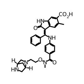 Cc1cc2c(cc1C(=O)O)NC(=O)C2=C(Nc1ccc(C(=O)N(C)OCCN2C[C@@H]3C[C@H]2CN3)cc1)c1ccccc1